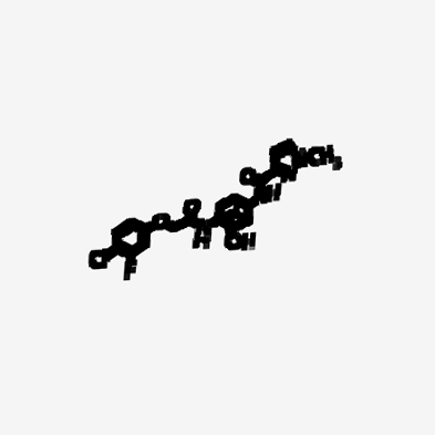 Cn1ccc(C(=O)NC23CCC(NC(=O)COc4ccc(Cl)c(F)c4)(CC2)C(O)C3)n1